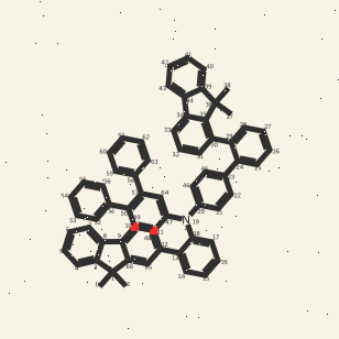 CC1(C)c2ccccc2-c2ccc(-c3ccccc3N(c3ccc(-c4ccccc4-c4cccc5c4C(C)(C)c4ccccc4-5)cc3)c3ccc(-c4ccccc4)c(-c4ccccc4)c3)cc21